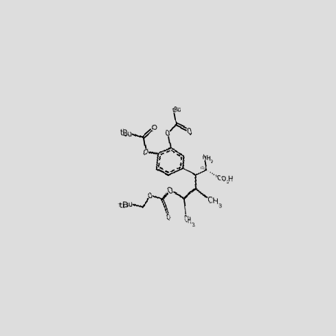 CC(OC(=O)OCC(C)(C)C)C(C)C(c1ccc(OC(=O)C(C)(C)C)c(OC(=O)C(C)(C)C)c1)[C@H](N)C(=O)O